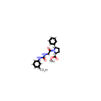 CC(C)(C)OC(=O)[C@@H]1CC[C@H](c2ccccc2)N1C(=O)CNC(=O)Nc1cccc(C(=O)O)c1